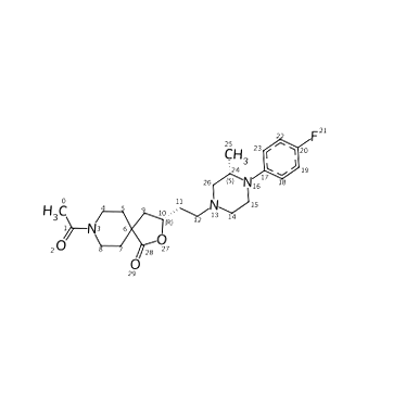 CC(=O)N1CCC2(CC1)C[C@H](CCN1CCN(c3ccc(F)cc3)[C@@H](C)C1)OC2=O